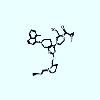 C#CCCN1CCCC1COc1nc2c(c(N3CCN(C(=O)C4CN4)C(CC#N)C3)n1)CCN(c1cccc3cccc(C)c13)C2